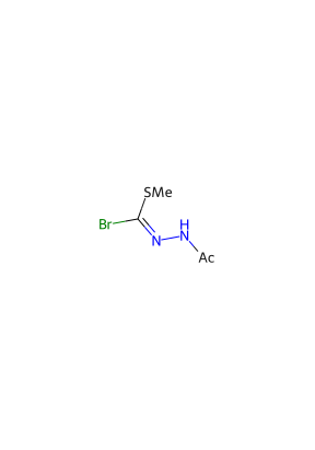 CS/C(Br)=N\NC(C)=O